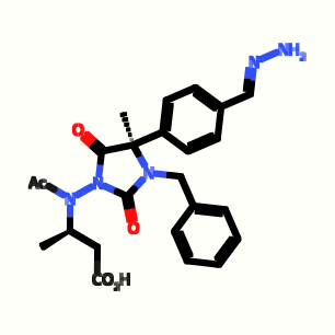 CC(=O)N([C@H](C)CC(=O)O)N1C(=O)N(Cc2ccccc2)[C@](C)(c2ccc(C=NN)cc2)C1=O